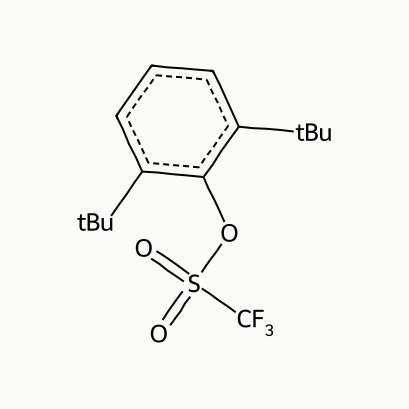 CC(C)(C)c1cccc(C(C)(C)C)c1OS(=O)(=O)C(F)(F)F